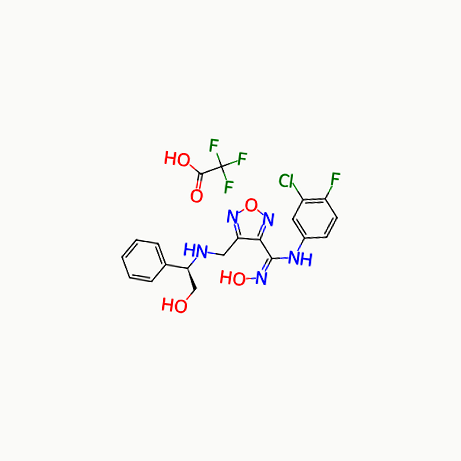 O=C(O)C(F)(F)F.OC[C@H](NCc1nonc1/C(=N\O)Nc1ccc(F)c(Cl)c1)c1ccccc1